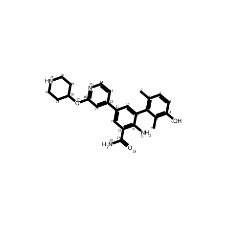 Cc1ccc(O)c(C)c1-c1cc(-c2ccnc(OC3CCNCC3)c2)cc(C(N)=O)c1N